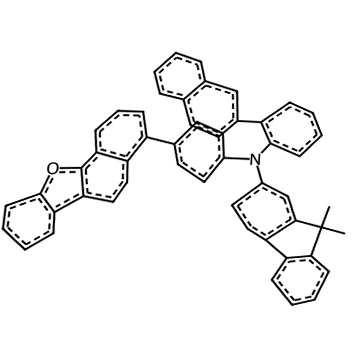 CC1(C)c2ccccc2-c2ccc(N(c3ccc(-c4cccc5c4ccc4c6ccccc6oc54)cc3)c3ccccc3-c3ccc4ccccc4c3)cc21